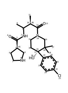 CC(NC(=O)[C@@H]1CCNC1)[C@@H](C)C(=O)N1CC[C@](O)(c2ccc(Cl)cc2)C(C)(C)C1